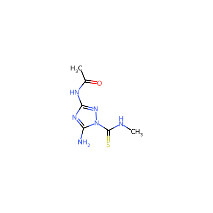 CNC(=S)n1nc(NC(C)=O)nc1N